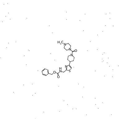 CN1CCN(C(=O)N2CCC(c3csc(CNC(=O)OCc4ccccc4)n3)CC2)CC1